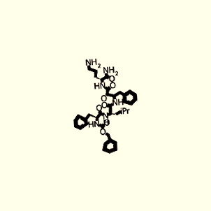 CC(C)C[C@H](NC(=O)[C@H](Cc1ccccc1)NC(=O)OCc1ccccc1)C(=O)NC(Cc1ccccc1)C(=O)C(=O)N[C@H](CCCN)C(N)=O